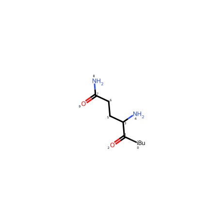 CCC(C)C(=O)C(N)CCC(N)=O